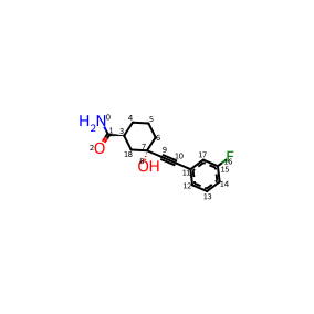 NC(=O)[C@H]1CCC[C@@](O)(C#Cc2cccc(F)c2)C1